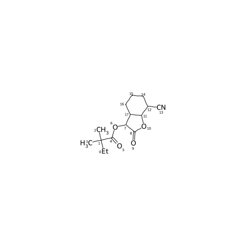 CCC(C)(C)C(=O)OC1C(=O)OC2C(C#N)CCCC12